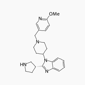 COc1ccc(CN2CCC(n3c([C@@H]4CCNC4)nc4ccccc43)CC2)cn1